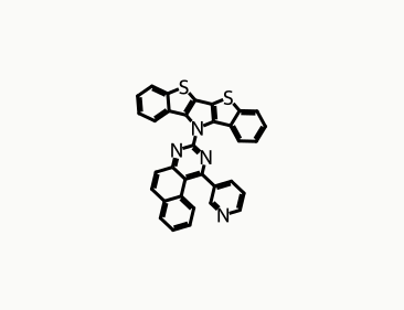 c1cncc(-c2nc(-n3c4c5ccccc5sc4c4sc5ccccc5c43)nc3ccc4ccccc4c23)c1